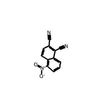 N#Cc1ccc2c([N+](=O)[O-])cccc2c1C#N